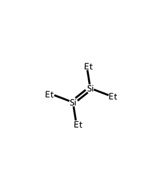 CC[Si](CC)=[Si](CC)CC